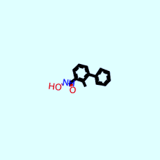 Cc1c(C(=O)NO)cccc1-c1ccccc1